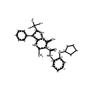 Cc1[nH]c2c(-c3ccccc3)c(C(F)(F)F)nn2c(=O)c1C(=O)Nc1ccccc1OC1CCCC1